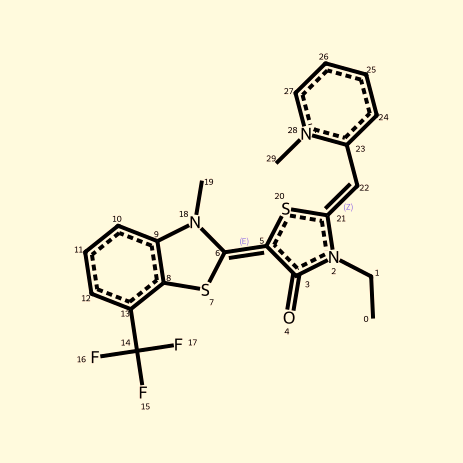 CCn1c(=O)/c(=C2\Sc3c(cccc3C(F)(F)F)N2C)s/c1=C\c1cccc[n+]1C